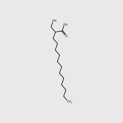 CCCCCCCCCCCCC(CO)C(=O)O